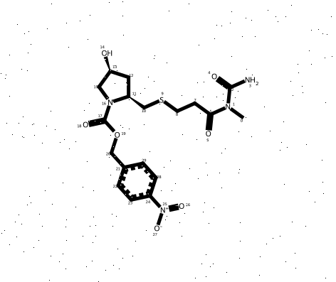 CN(C(N)=O)C(=O)CCSC[C@@H]1C[C@H](O)CN1C(=O)OCc1ccc([N+](=O)[O-])cc1